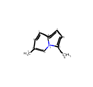 Cc1ccc2ccc(C)n2c1